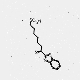 O=S(=O)(O)CCCCCCC(=S)c1nc2ccccc2s1